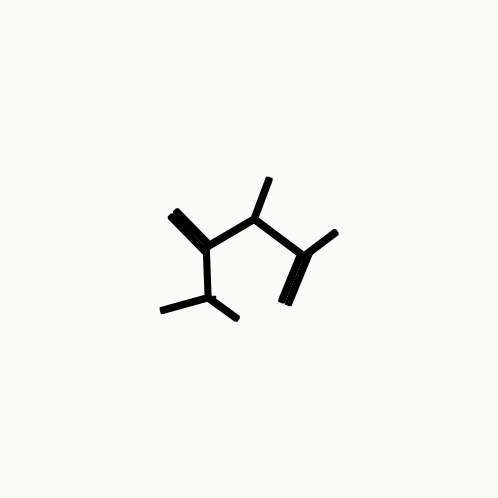 C=C(C)C(C)C(=C)[C](C)C